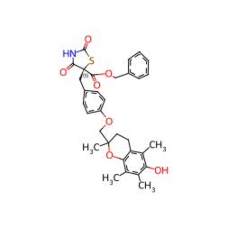 Cc1c(C)c2c(c(C)c1O)CCC(C)(COc1ccc(C[C@]3(C(=O)OCc4ccccc4)SC(=O)NC3=O)cc1)O2